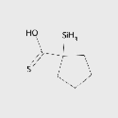 OC(=S)C1([SiH3])CCCC1